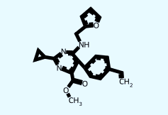 C=Cc1ccc(-c2c(NCc3ccco3)nc(C3CC3)nc2C(=O)OC)cc1